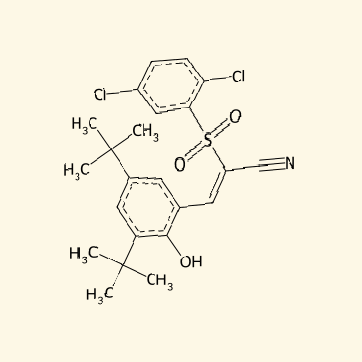 CC(C)(C)c1cc(C=C(C#N)S(=O)(=O)c2cc(Cl)ccc2Cl)c(O)c(C(C)(C)C)c1